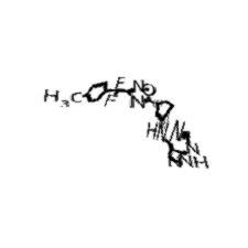 Cc1ccc(C(F)(F)c2noc([C@H]3CC[C@H](Nc4ncnc5[nH]ncc45)C3)n2)cc1